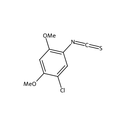 COc1cc(OC)c(N=C=S)cc1Cl